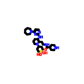 O=C(NCCC1C(Nc2nccc(N3CCCCCC3)n2)CCCN1C1CCS(O)(O)CC1)C1CCNCC1